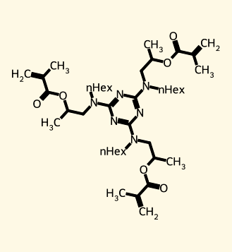 C=C(C)C(=O)OC(C)CN(CCCCCC)c1nc(N(CCCCCC)CC(C)OC(=O)C(=C)C)nc(N(CCCCCC)CC(C)OC(=O)C(=C)C)n1